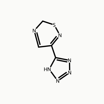 C1=NCSN=C1c1nnn[nH]1